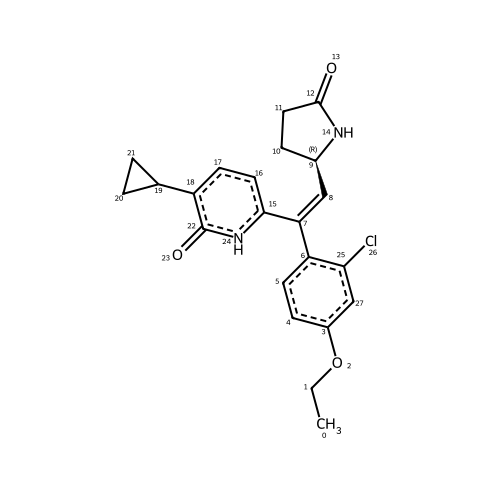 CCOc1ccc(C(=C[C@H]2CCC(=O)N2)c2ccc(C3CC3)c(=O)[nH]2)c(Cl)c1